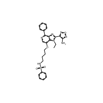 CCn1c(-c2nonc2N)nc2c(-c3ccccc3)ncc(OCCCCNS(=O)(=O)c3ccccc3)c21